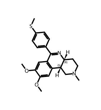 COc1cc2c(cc1OC)[C@H]1CN(C)CC[C@H]1N=C2c1ccc(SC)cc1